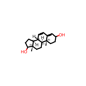 C[C@]12CCC(O)C=C1C=C[C@@H]1[C@@H]2CC[C@]2(C)C(O)CC[C@@H]12